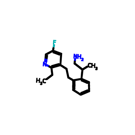 CCc1ncc(F)cc1CCc1ccccc1C(C)CN